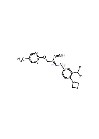 Cc1cnc(OC/C(=C/Nc2ccc(N3CCC3)c(C(F)F)c2)N=N)nc1